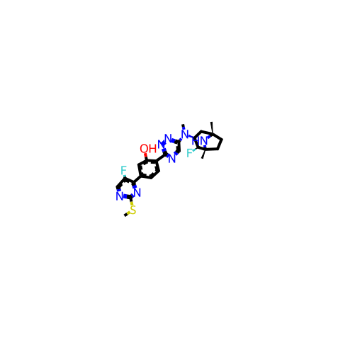 CSc1ncc(F)c(-c2ccc(-c3ncc(N(C)[C@H]4C[C@]5(C)CC[C@@](C)(N5)[C@H]4F)nn3)c(O)c2)n1